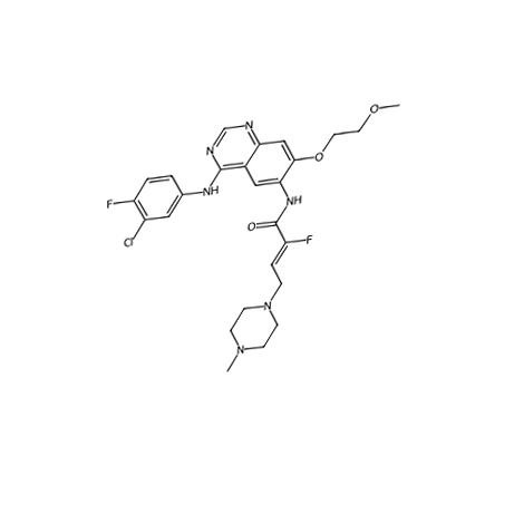 COCCOc1cc2ncnc(Nc3ccc(F)c(Cl)c3)c2cc1NC(=O)/C(F)=C/CN1CCN(C)CC1